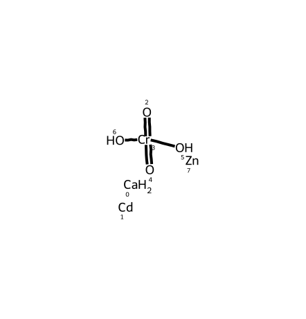 [CaH2].[Cd].[O]=[Cr](=[O])([OH])[OH].[Zn]